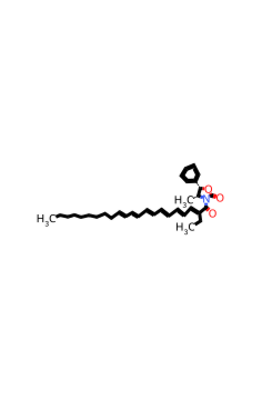 CCCCCCCCCC=CC=CC=CC=CC=CC=C(CC)C(=O)N1C(=O)O[C@@H](c2ccccc2)[C@H]1C